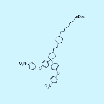 CCCCCCCCCCCCCCCCCC1CCC(CCC2CCC(c3ccc(Oc4ccc([N+](=O)[O-])cc4)cc3)(c3ccc(Oc4ccc([N+](=O)[O-])cc4)cc3)CC2)CC1